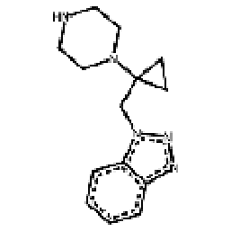 c1ccc2c(c1)nnn2CC1(N2CCNCC2)CC1